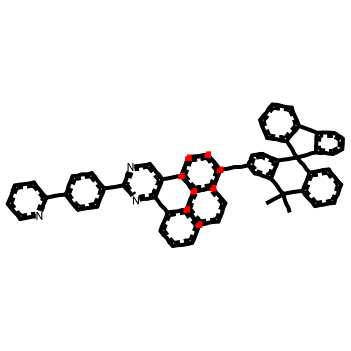 CC1(C)c2ccccc2C2(c3ccccc3-c3ccccc32)c2ccc(-c3ccc(-c4cnc(-c5ccc(-c6ccccn6)cc5)nc4-c4ccccc4-c4ccccc4)c4ccccc34)cc21